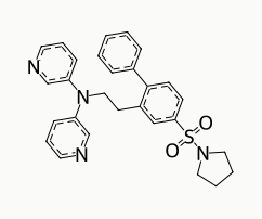 O=S(=O)(c1ccc(-c2ccccc2)c(CCN(c2cccnc2)c2cccnc2)c1)N1CCCC1